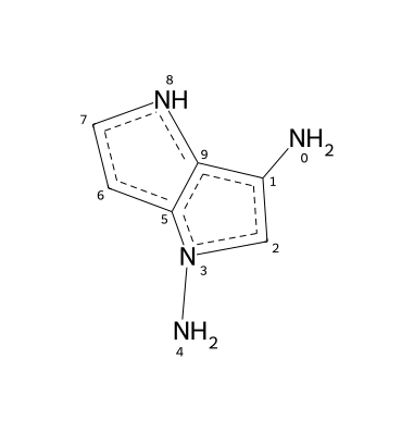 Nc1cn(N)c2cc[nH]c12